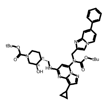 CC(C)(C)OC(=O)N1CC[C@H](CNc2cc(N(Cc3cn4ccc(-c5ccccc5)cc4n3)C(=O)OC(C)(C)C)n3ncc(C4CC4)c3n2)[C@@H](O)C1